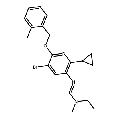 CCN(C)/C=N/c1cc(Br)c(OCc2ccccc2C)nc1C1CC1